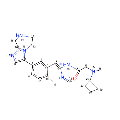 C=N/C(=C\c1cc(-c2cnc3n2CCNC3)ccc1C)NC(=O)CN(C)C1CCC1